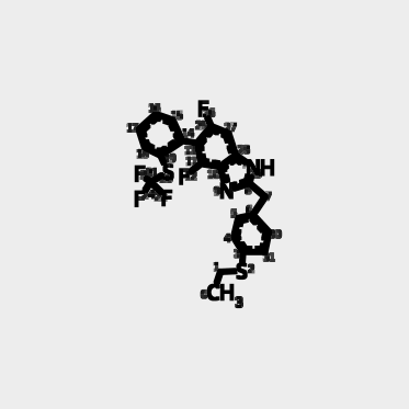 CCSc1ccc(Cc2nc3c(F)c(-c4ccccc4SC(F)(F)F)c(F)cc3[nH]2)cc1